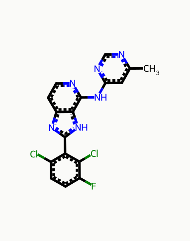 Cc1cc(Nc2nccc3nc(-c4c(Cl)ccc(F)c4Cl)[nH]c23)ncn1